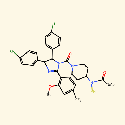 CCOc1cc(C(F)(F)F)ccc1C1=NC(c2ccc(Cl)cc2)C(c2ccc(Cl)cc2)N1C(=O)N1CCC(N(S)C(=O)NC)CC1